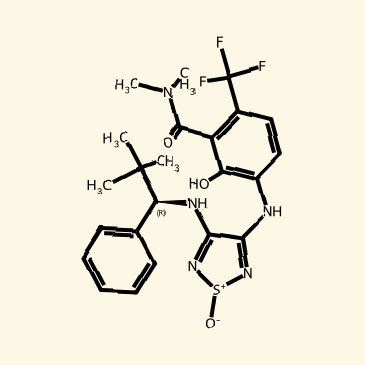 CN(C)C(=O)c1c(C(F)(F)F)ccc(Nc2n[s+]([O-])nc2N[C@@H](c2ccccc2)C(C)(C)C)c1O